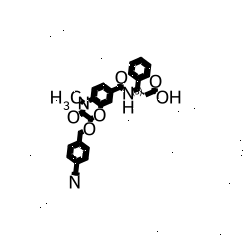 CN1C(=O)C(OCc2ccc(C#N)cc2)Oc2cc(C(=O)N[C@@H](CC(=O)O)c3ccccc3)ccc21